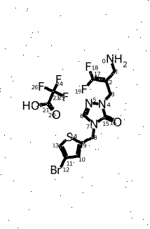 NCC(Cn1ncn(Cc2cc(Br)cs2)c1=O)=C(F)F.O=C(O)C(F)(F)F